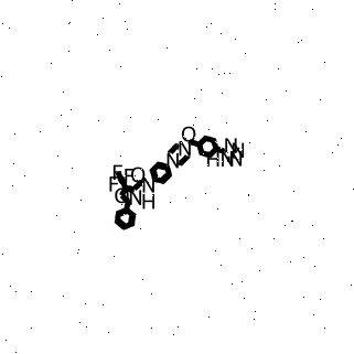 O=C(Nc1ccc(N2CCN(C(=O)C3CCC(c4nnn[nH]4)CC3)CC2)cc1)c1nc(-c2ccccc2)oc1C(F)(F)F